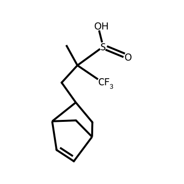 CC(CC1CC2C=CC1C2)(S(=O)O)C(F)(F)F